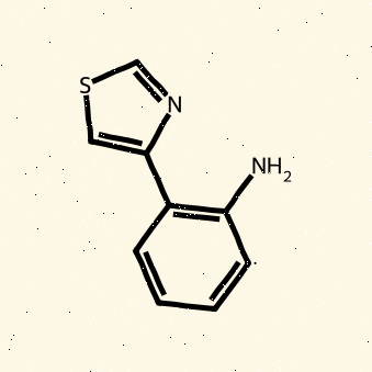 Nc1[c]cccc1-c1cscn1